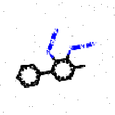 Cc1ccc(-c2ccccc2)c(N=[N+]=[N-])c1N=[N+]=[N-]